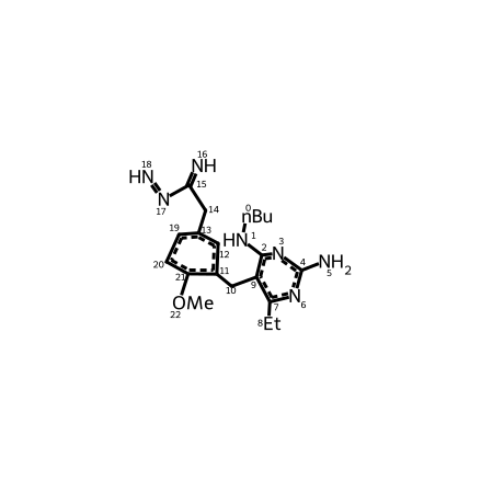 CCCCNc1nc(N)nc(CC)c1Cc1cc(CC(=N)N=N)ccc1OC